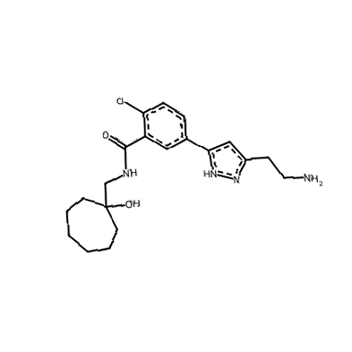 NCCc1cc(-c2ccc(Cl)c(C(=O)NCC3(O)CCCCCC3)c2)[nH]n1